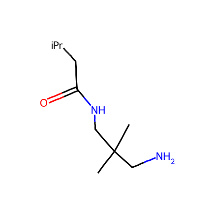 CC(C)CC(=O)NCC(C)(C)CN